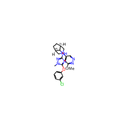 COc1cc(N2C[C@H]3CC[C@@H](C2)C3Nc2nc(Oc3cccc(Cl)c3)n(C)n2)cnn1